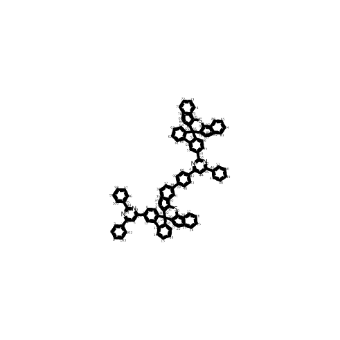 c1ccc(-c2cc(-c3ccc4c(c3)-c3ccccc3C43c4ccc5ccccc5c4Sc4c3ccc3ccc(-c5ccc(-c6cc(-c7ccccc7)nc(-c7ccc8c(c7)-c7ccccc7C87c8ccc9ccccc9c8Sc8c7ccc7ccccc87)n6)cc5)cc43)nc(-c3ccccc3)n2)cc1